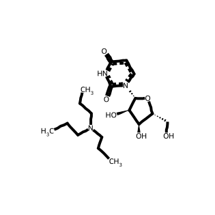 CCCN(CCC)CCC.O=c1ccn([C@@H]2O[C@H](CO)[C@@H](O)[C@H]2O)c(=O)[nH]1